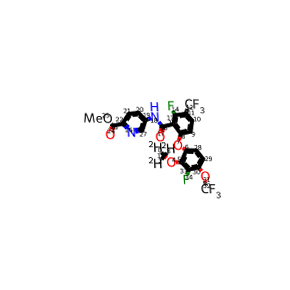 [2H]C([2H])([2H])Oc1c(Oc2ccc(C(F)(F)F)c(F)c2C(=O)Nc2ccc(C(=O)OC)nc2)ccc(OC(F)(F)F)c1F